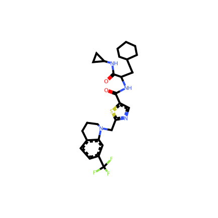 O=C(NC(CC1CCCCC1)C(=O)NC1CC1)c1cnc(CN2CCCc3ccc(C(F)(F)F)cc32)s1